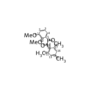 COc1cccc([PH](=O)C(=O)c2c(C)cc(C)cc2C)c1OC